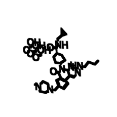 CCCCNc1ncc2c3ccc(CN4CCN(C)CC4)cc3c(=O)n([C@H]3CC[C@H](C(=O)NCC4CC4)CC3)c2n1.O=CO.O=CO.O=CO